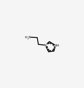 NCC[n+]1cc[nH]c1